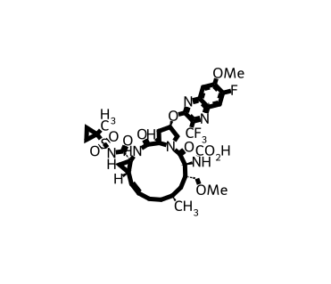 COC[C@@H]1C[C@H](C)CCC=C[C@@H]2C[C@@]2(C(=O)NS(=O)(=O)C2(C)CC2)NC(=O)[C@@H]2C[C@@H](Oc3nc4cc(OC)c(F)cc4nc3C(F)(F)F)CN2C(=O)[C@H]1NC(=O)O